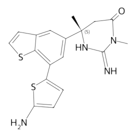 CN1C(=N)N[C@](C)(c2cc(-c3ccc(N)s3)c3sccc3c2)CC1=O